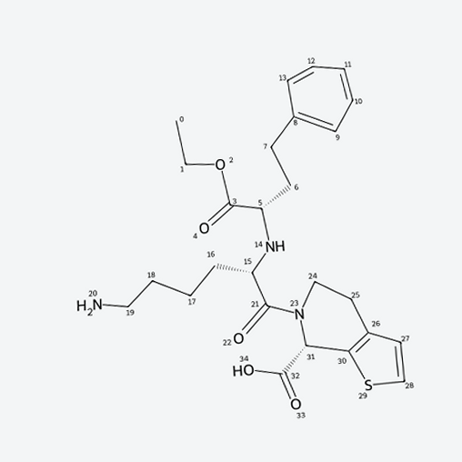 CCOC(=O)[C@H](CCc1ccccc1)N[C@@H](CCCCN)C(=O)N1CCc2ccsc2[C@@H]1C(=O)O